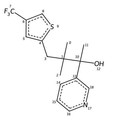 CC(C)(Cc1cc(C(F)(F)F)cs1)C(C)(O)c1cccnc1